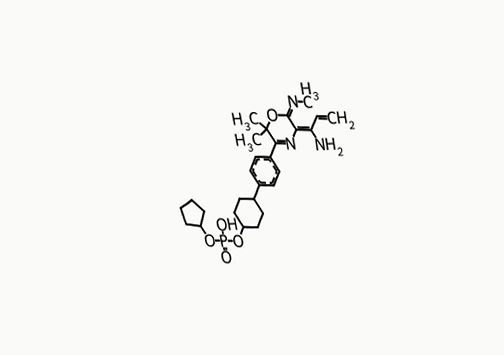 C=C/C(N)=C1/N=C(c2ccc(C3CCC(OP(=O)(O)OC4CCCC4)CC3)cc2)C(C)(C)O/C1=N/C